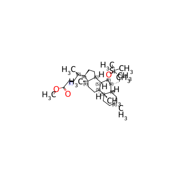 CC[C@H]1[C@@H](O[Si](C)(C)C)[C@@H]2[C@H](CC[C@]3(C)[C@@H]([C@H](C)/C=C/C(=O)OC)CC[C@@H]23)[C@@]2(C)CC[C@@H](C)C[C@@H]12